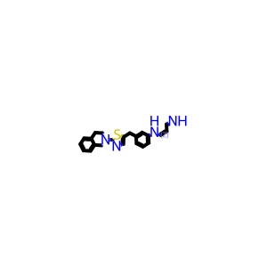 N=C/C=C\Nc1cccc(Cc2cnc(N3CCc4ccccc4C3)s2)c1